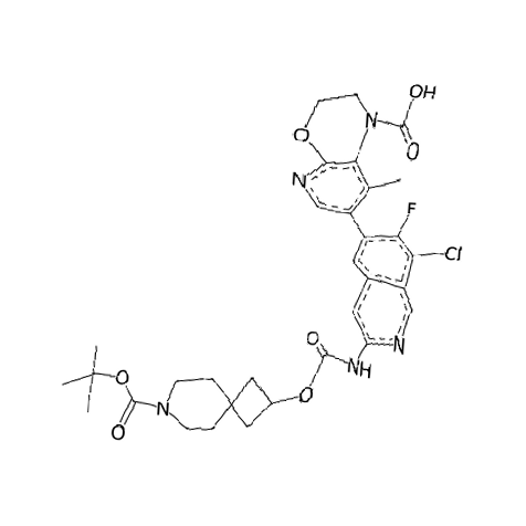 Cc1c(-c2cc3cc(NC(=O)OC4CC5(CCN(C(=O)OC(C)(C)C)CC5)C4)ncc3c(Cl)c2F)cnc2c1N(C(=O)O)CCO2